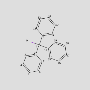 IC(c1ccccc1)(c1ccccc1)c1ccccc1